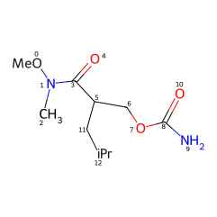 CON(C)C(=O)C(COC(N)=O)CC(C)C